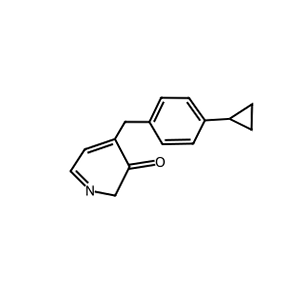 O=C1CN=CC=C1Cc1ccc(C2CC2)cc1